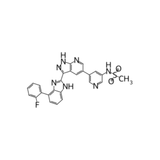 CS(=O)(=O)Nc1cncc(-c2cnc3[nH]nc(-c4nc5c(-c6ccccc6F)cccc5[nH]4)c3c2)c1